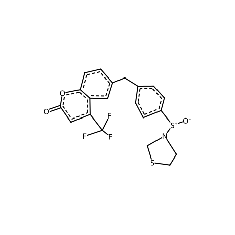 O=c1cc(C(F)(F)F)c2cc(Cc3ccc([S+]([O-])N4CCSC4)cc3)ccc2o1